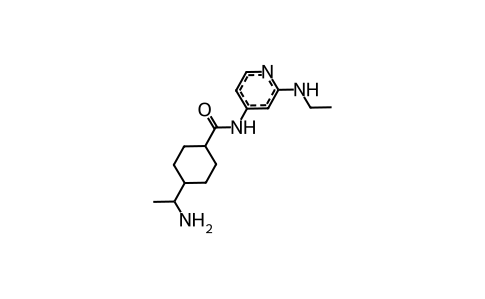 CCNc1cc(NC(=O)C2CCC(C(C)N)CC2)ccn1